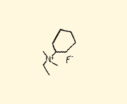 CC[N+](C)(C)C1CCCCC1.[F-]